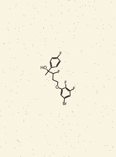 CC(O)(c1ccc(F)cc1)C(F)CCOc1cc(Br)cc(F)c1F